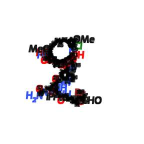 COc1cc2cc(c1Cl)N(C)C(O)C[C@H](OC(=O)[C@H](C)N(C)C(=O)c1ccc(NC(=O)[C@H](CCCNC(N)=O)NC(=O)[C@@H](NC(=O)CCCCC(C)(C)OC(C=O)(CBr)CBr)C(C)C)c3ncccc13)[C@]1(C)O[C@H]1[C@H](C)[C@@H]1C[C@@](O)(NC(=O)O1)[C@H](OC)/C=C/C=C(\C)C2